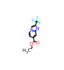 CCOC(=O)c1ccn2cc(C(F)(F)F)nc2c1